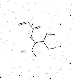 C=CC(=O)ON(CC)C(CC)CC.Cl